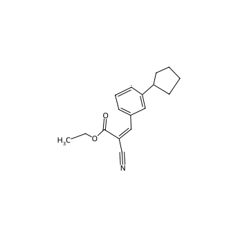 CCOC(=O)C(C#N)=Cc1cc[c]c(C2CCCC2)c1